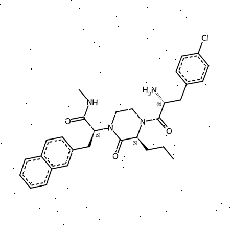 CCC[C@H]1C(=O)N([C@@H](Cc2ccc3ccccc3c2)C(=O)NC)CCN1C(=O)[C@H](N)Cc1ccc(Cl)cc1